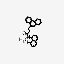 CN(C(=O)CCc1cc2ccccc2c2ccccc12)c1cccc2cccc(I)c12